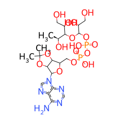 C[C@H](O)C(OC(OP(=O)(O)OP(=O)(O)OCC1OC(n2cnc3c(N)ncnc32)C2OC(C)(C)OC12)[C@H](O)CO)[C@H](O)CO